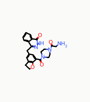 NCC(=O)N1CCN(C(=O)c2cc(Cc3n[nH]c(=O)c4ccccc34)cc3c2OCC3)CC1